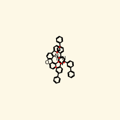 c1ccc(-c2ccc(-c3cccc(-n4c5ccccc5c5ccc6oc7cccc(-c8nc(-c9ccc(-c%10ccccc%10)cc9)nc(-c9cccc(-c%10ccccc%10)c9)n8)c7c6c54)c3)cc2)cc1